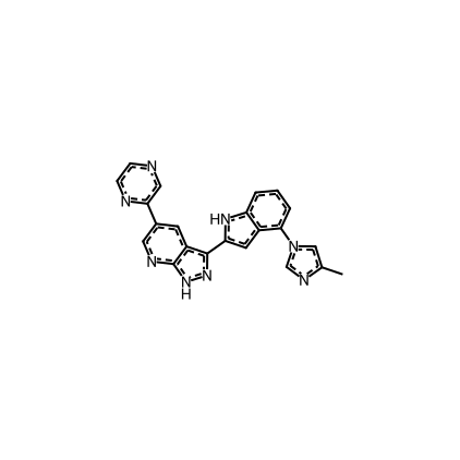 Cc1cn(-c2cccc3[nH]c(-c4n[nH]c5ncc(-c6cnccn6)cc45)cc23)cn1